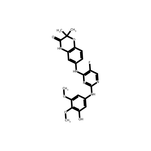 COc1cc(Nc2ncc(F)c(Nc3ccc4c(c3)NC(=O)C(C)(C)O4)n2)cc(O)c1OC